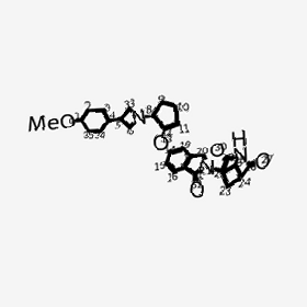 COC1CCC(C2CN([C@H]3CCC[C@H]3Oc3ccc4c(c3)CN(C35CC(C3)C(=O)NC5=O)C4=O)C2)CC1